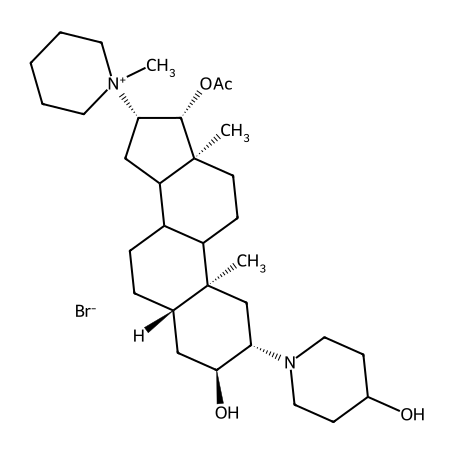 CC(=O)O[C@H]1[C@@H]([N+]2(C)CCCCC2)CC2C3CC[C@H]4C[C@H](O)[C@@H](N5CCC(O)CC5)C[C@]4(C)C3CC[C@@]21C.[Br-]